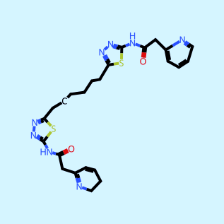 O=C(CC1=NCCC=C1)Nc1nnc(CCCCCCc2nnc(NC(=O)Cc3ccccn3)s2)s1